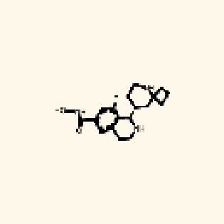 O=C(NO)c1cc(F)c2c(c1)CCNC2[C@H]1CCNC2(CCC2)C1